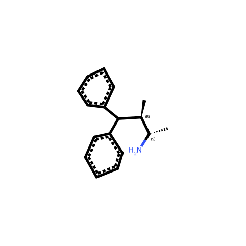 C[C@H](N)[C@H](C)C(c1ccccc1)c1ccccc1